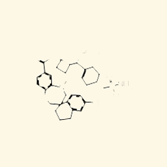 CO[C@@H](C1=CC[C@@H](CS(N)(=O)=O)CC1)[C@@H]1CC[C@H]1CN1CC2(CCCc3cc(Cl)ccc32)COc2ccc(C(=O)O)cc21